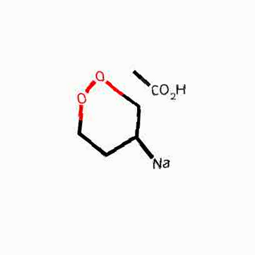 CC(=O)O.[Na][CH]1CCOOC1